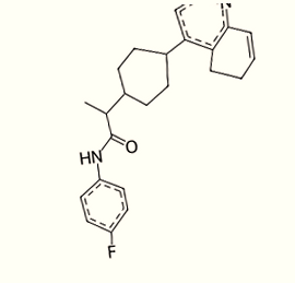 CC(C(=O)Nc1ccc(F)cc1)C1CCC(c2ccnc3c2CCC=C3)CC1